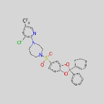 O=S(=O)(c1ccc2c(c1)OC(C1=CC=CCC1)(c1ccccc1)O2)N1CCCN(c2ncc(C(F)(F)F)cc2Cl)CC1